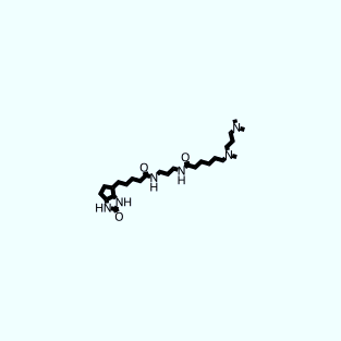 CN(C)CCCN(C)CCCCCC(=O)NCCCNC(=O)CCCCC1CCC2NC(=O)NC12